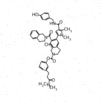 Cc1c(C(=O)NCc2ccc(O)cc2)cc(-c2cc3c(cc2C(=O)N2Cc4ccccc4C[C@H]2C)CN(C(=O)Oc2cccc(CCC(=O)N(C)C)c2)CC3)n1C